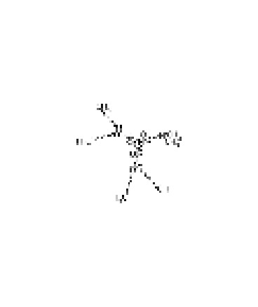 CCCCCCCCOC(CCC(=O)O[C@@H]1C[C@@H](OC(=O)CCC(OCCCCCCCC)OCCCCCCCC)CN(C(=O)OCCCN(CC)CC)C1)OCCCCCCCC